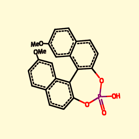 COc1ccc2ccc3c(c2c1)-c1c(ccc2ccc(OC)cc12)OP(=O)(O)O3